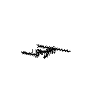 CCCCCCCCCCCC(=O)O[C@H](CCCCCCCCCCC)CC(=O)N[C@@H](CCCCC)C(=O)NCCC[C@H](CO)NC(=O)C[C@H](C)CCCCCCCCCCC